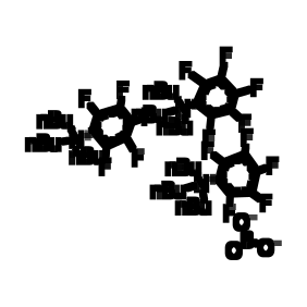 CCCC[N+](CCCC)(CCCC)c1c(F)c(F)c(F)c(F)c1F.CCCC[N+](CCCC)(CCCC)c1c(F)c(F)c(F)c(F)c1F.CCCC[N+](CCCC)(CCCC)c1c(F)c(F)c(F)c(F)c1F.[O-]B([O-])[O-]